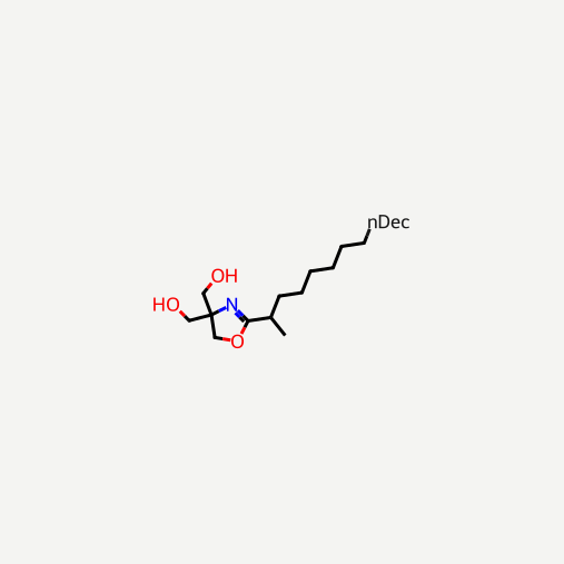 CCCCCCCCCCCCCCCCC(C)C1=NC(CO)(CO)CO1